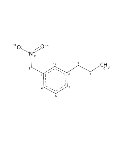 CCCc1cccc(C[N+](=O)[O-])c1